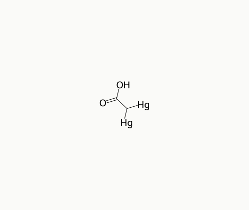 O=C(O)[CH]([Hg])[Hg]